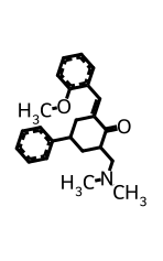 COc1ccccc1/C=C1\CC(c2ccccc2)CC(CN(C)C)C1=O